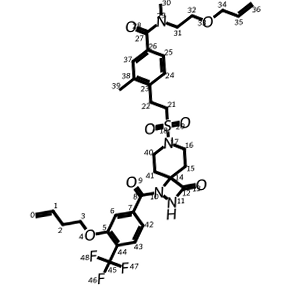 C=CCCOc1cc(C(=O)N2NC(=O)C23CCN(S(=O)(=O)CCc2ccc(C(=O)N(C)CCOCC=C)cc2C)CC3)ccc1C(F)(F)F